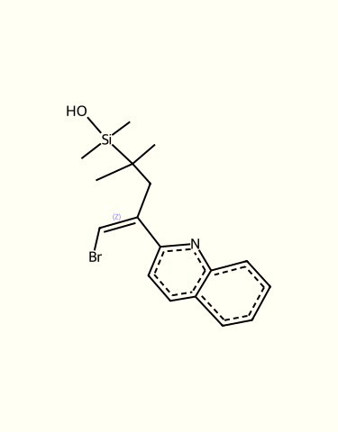 CC(C)(C/C(=C/Br)c1ccc2ccccc2n1)[Si](C)(C)O